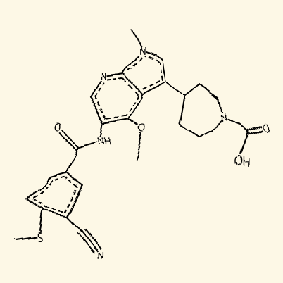 COc1c(NC(=O)c2ccc(SC)c(C#N)c2)cnc2c1c(C1CCN(C(=O)O)CC1)cn2C